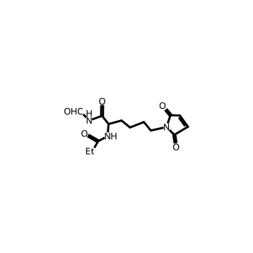 CCC(=O)NC(CCCCN1C(=O)C=CC1=O)C(=O)NC=O